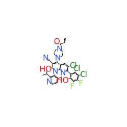 C=CC(=O)N1CCN(C2=C(C#N)C(O)N(c3c(C)ccnc3C(C)C)c3nc(-c4c(O)c(F)c(F)c(Cl)c4Cl)c(Cl)cc32)CC1